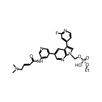 CCOP(=O)(O)OCn1cc(-c2ccnc(F)c2)c2cc(-c3cncc(NC(=O)C=CCN(C)C)c3)cnc21